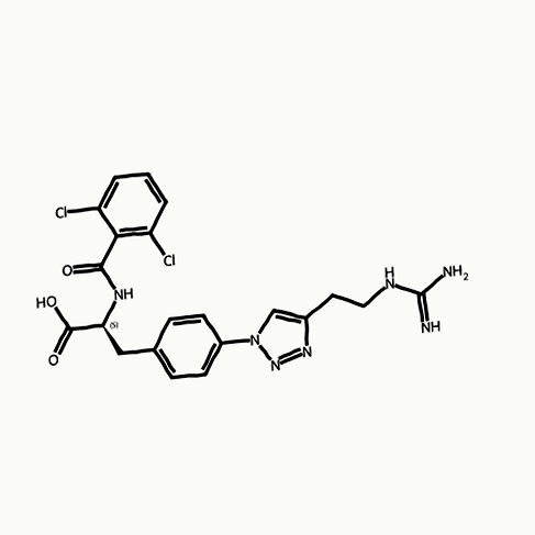 N=C(N)NCCc1cn(-c2ccc(C[C@H](NC(=O)c3c(Cl)cccc3Cl)C(=O)O)cc2)nn1